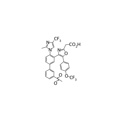 Cc1nc(C(F)(F)F)cn1-c1ccc(-c2cccc(S(C)(=O)=O)c2)cc1-c1nc(CC(=O)O)oc1-c1ccc(OC(F)(F)F)cc1